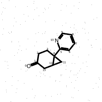 O=C1CCC2(c3ccccn3)CC2C1